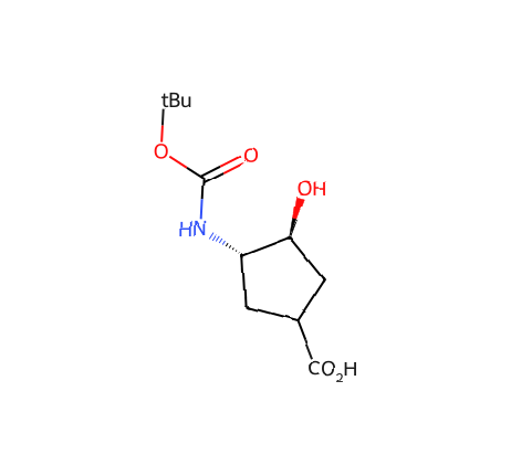 CC(C)(C)OC(=O)N[C@H]1CC(C(=O)O)C[C@@H]1O